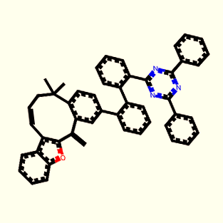 C=C1c2cc(-c3ccccc3-c3ccccc3-c3nc(-c4ccccc4)nc(-c4ccccc4)n3)ccc2C(C)(C)C/C=C\c2c1oc1ccccc21